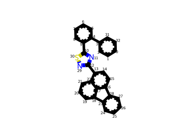 c1ccc(-c2ccccc2-c2nc(-c3ccc4c5c(cccc35)-c3ccccc3-4)ns2)cc1